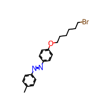 Cc1ccc(N=Nc2ccc(OCCCCCCBr)cc2)cc1